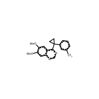 COc1cc2ncnc(C3(c4cccc(C(F)(F)F)c4)CC3)c2cc1OC